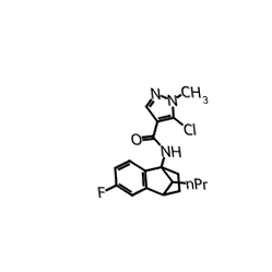 CCCC1C2CCC1(NC(=O)c1cnn(C)c1Cl)c1ccc(F)cc12